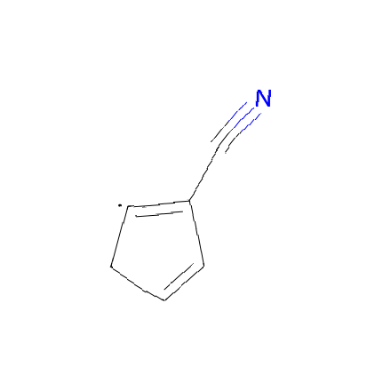 N#CC1=[C]CC=C1